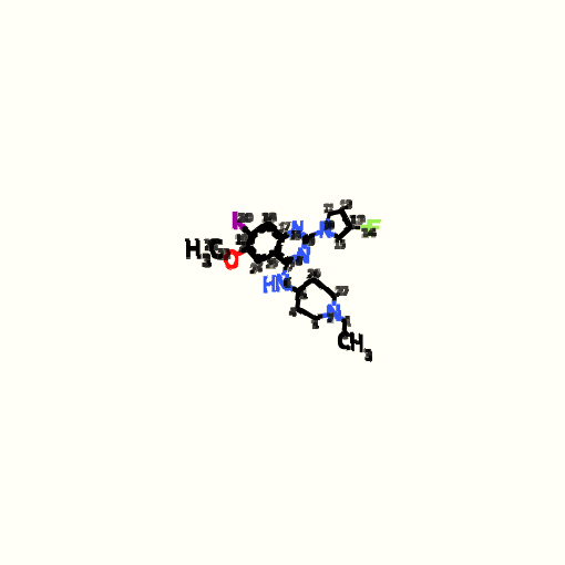 CCN1CCC(Nc2nc(N3CC[C@@H](F)C3)nc3cc(I)c(OC)cc23)CC1